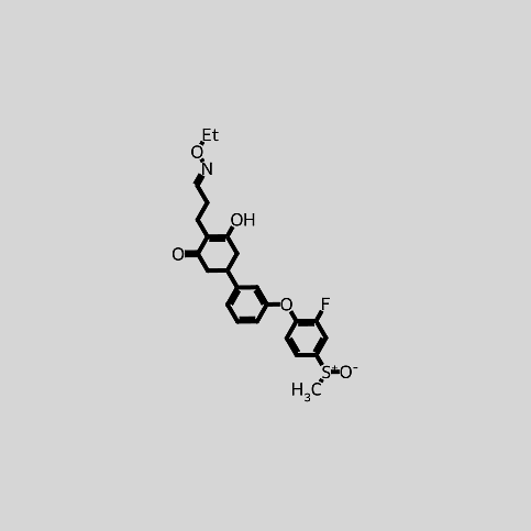 CCON=CCCC1=C(O)CC(c2cccc(Oc3ccc([S+](C)[O-])cc3F)c2)CC1=O